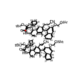 COCOc1cc(-c2c(/C=C/C#N)cc3c4c(cnc3c2F)NC(=O)CN4C2C3CC2N(C(=O)OC(C)(C)C)C3)c2ccccc2c1.COCOc1cc(-c2c(CCC#N)cc3c4c(cnc3c2F)NC(=O)CN4C2C3CC2N(C(=O)OC(C)(C)C)C3)c2ccccc2c1